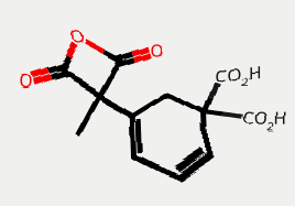 CC1(C2=CC=CC(C(=O)O)(C(=O)O)C2)C(=O)OC1=O